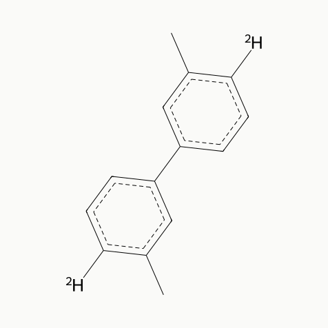 [2H]c1ccc(-c2ccc([2H])c(C)c2)cc1C